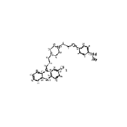 CC(C)Nc1ccc(OCCN2CCN(CCCN3c4ccccc4Sc4ccc(C(F)(F)F)cc43)CC2)cc1